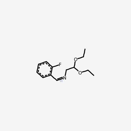 CCOC(C/N=C\c1ccccc1F)OCC